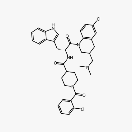 CN(C)CC1Cc2cc(Cl)ccc2N(C(=O)[C@@H](Cc2c[nH]c3ccccc23)NC(=O)C2CCN(C(=O)c3ccccc3Cl)CC2)C1